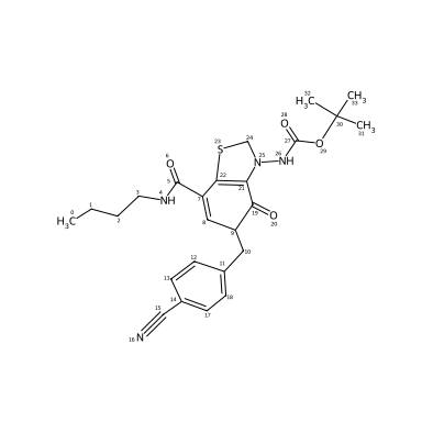 CCCCNC(=O)C1=CC(Cc2ccc(C#N)cc2)C(=O)C2=C1SCN2NC(=O)OC(C)(C)C